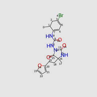 CC1CC(Br)=CC=C1NC(=O)NN1C(=O)NC(C)(CCc2ccco2)C1=O